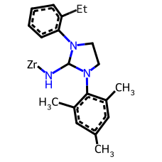 CCc1ccccc1N1CCN(c2c(C)cc(C)cc2C)C1[NH][Zr]